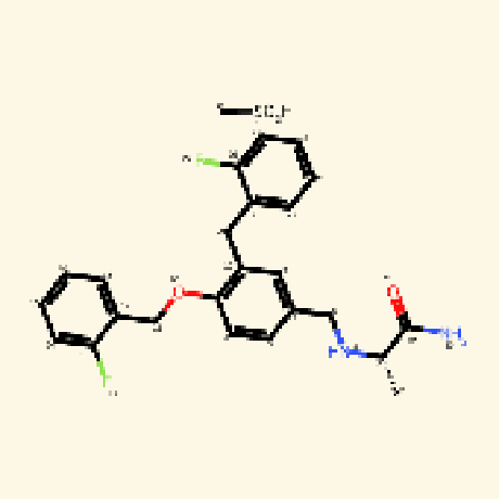 CS(=O)(=O)O.C[C@H](NCc1ccc(OCc2ccccc2F)c(Cc2ccccc2F)c1)C(N)=O